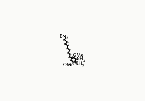 COc1cc(CCCCCCCCCCBr)c(OC)c(C)c1C